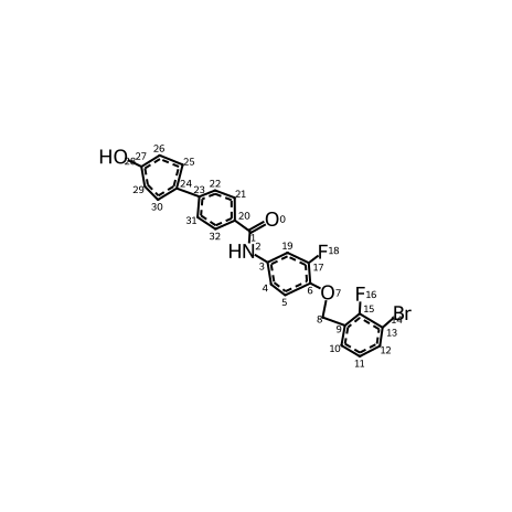 O=C(Nc1ccc(OCc2cccc(Br)c2F)c(F)c1)c1ccc(-c2ccc(O)cc2)cc1